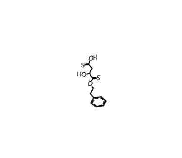 OC(=S)CC(O)C(=S)OCCc1ccccc1